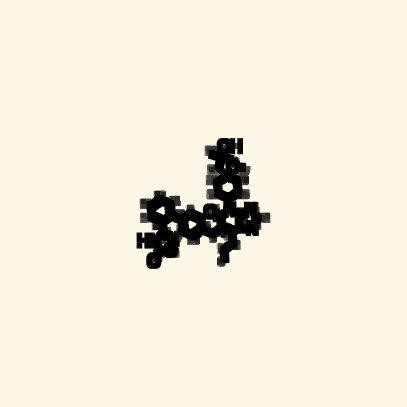 CCCc1c(Cc2ccc(-c3ccccc3-c3noc(=O)[nH]3)cc2)c(=O)n([C@H]2CC[C@@](CC(C)(C)O)(OC)CC2)c2ncnn12